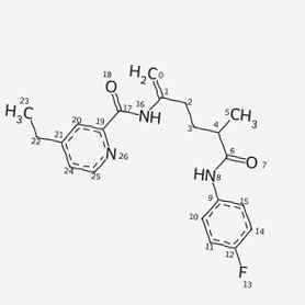 C=C(CCC(C)C(=O)Nc1ccc(F)cc1)NC(=O)c1cc(CC)ccn1